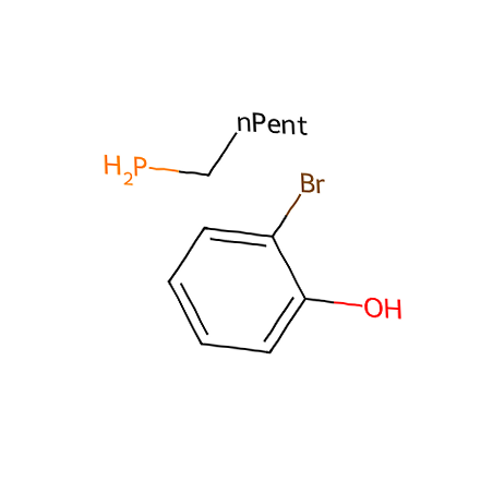 CCCCCCP.Oc1ccccc1Br